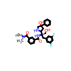 CCCCN(C)C(=O)c1cccc(C(=O)N[C@@](CO)(Cc2cc(F)cc(F)c2)C2CC(O)(c3ccccc3)CN2)c1